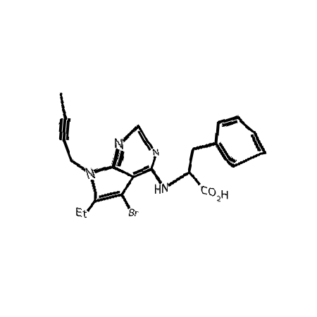 CC#CCn1c(CC)c(Br)c2c(NC(Cc3ccccc3)C(=O)O)ncnc21